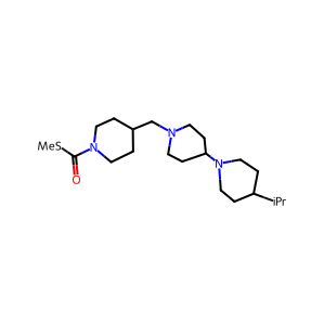 CSC(=O)N1CCC(CN2CCC(N3CCC(C(C)C)CC3)CC2)CC1